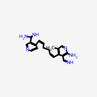 Cc1cnc(N)c(C=N)c1/C=C\CC/C=C\c1ccncc1C(=N)N